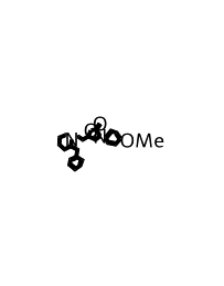 COc1ccc(N2CC(CCN3CCCCC3Cc3ccccc3)OC2=O)cc1